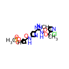 C[C@@H](OC(=O)Nc1c(-c2ccc(NC(=O)C34CC(C3)[C@H](OS(C)(=O)=O)C4)cn2)nnn1C)c1cccnc1Cl